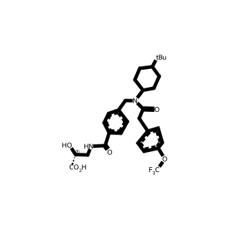 CC(C)(C)C1CCC(N(Cc2ccc(C(=O)NC[C@@H](O)C(=O)O)cc2)C(=O)Cc2ccc(OC(F)(F)F)cc2)CC1